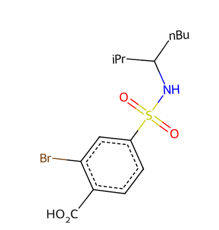 CCCCC(NS(=O)(=O)c1ccc(C(=O)O)c(Br)c1)C(C)C